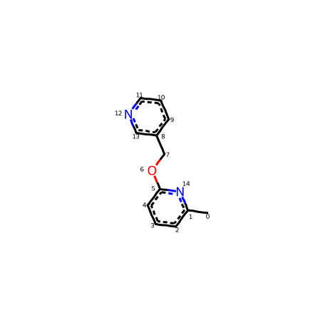 Cc1cccc(OCc2cccnc2)n1